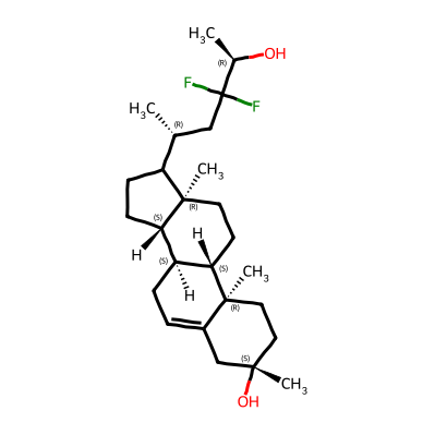 C[C@H](CC(F)(F)[C@@H](C)O)C1CC[C@H]2[C@@H]3CC=C4C[C@@](C)(O)CC[C@]4(C)[C@H]3CC[C@]12C